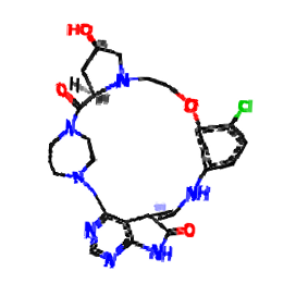 O=C1Nc2ncnc3c2/C1=C/Nc1ccc(Cl)c(c1)OCCN1C[C@H](O)C[C@@H]1C(=O)N1CCN3CC1